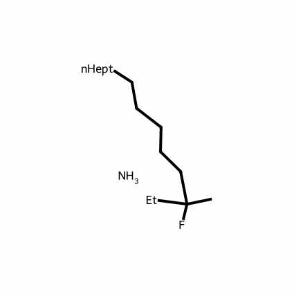 CCCCCCCCCCCCC(C)(F)CC.N